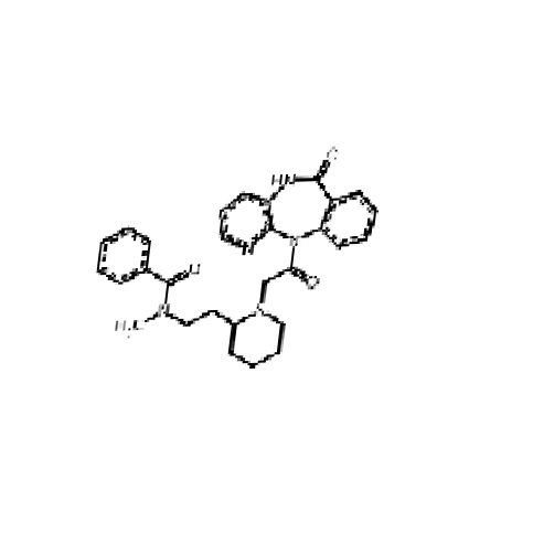 CN(CCC1CCCCN1CC(=O)N1c2ccccc2C(=O)Nc2cccnc21)C(=O)c1ccccc1